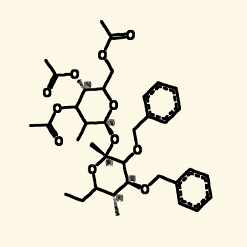 CCC1O[C@](C)(O[C@@H]2OC(COC(C)=O)[C@@H](OC(C)=O)C(OC(C)=O)C2C)C(OCc2ccccc2)[C@@H](OCc2ccccc2)[C@@H]1C